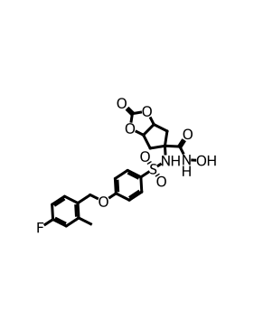 Cc1cc(F)ccc1COc1ccc(S(=O)(=O)NC2(C(=O)NO)CC3OC(=O)OC3C2)cc1